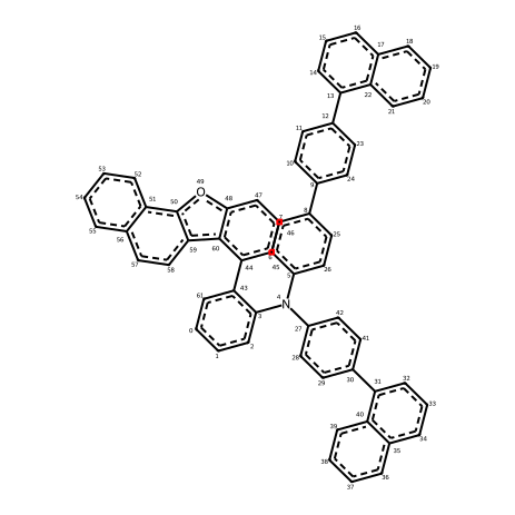 c1ccc(N(c2ccc(-c3ccc(-c4cccc5ccccc45)cc3)cc2)c2ccc(-c3cccc4ccccc34)cc2)c(-c2cccc3oc4c5ccccc5ccc4c23)c1